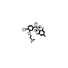 Cc1cc(C)c(S(=O)(=O)Nc2ccc(Cl)c(OCCN(C)C)c2)c(C)c1